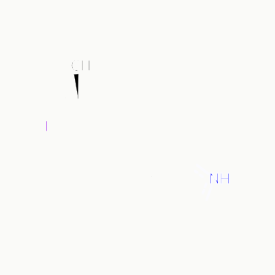 C[C@H](I)c1ccc2[nH]ccc2c1